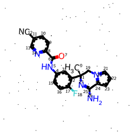 C[C@@]1(c2cc(NC(=O)c3ccc(C#N)cn3)ccc2F)Cn2cccc2C(N)=N1